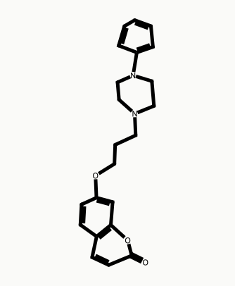 O=c1ccc2ccc(OCCCN3CCN(c4ccccc4)CC3)cc2o1